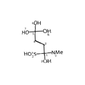 CNC(O)(CCC(O)(O)O)S(=O)(=O)O